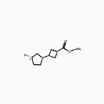 CC(C)(C)OC(=O)N1CC(N2CC[C@H](F)C2)C1